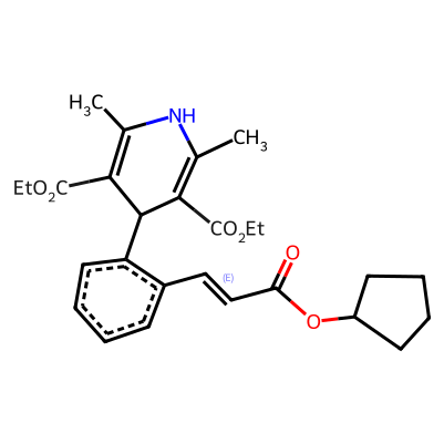 CCOC(=O)C1=C(C)NC(C)=C(C(=O)OCC)C1c1ccccc1/C=C/C(=O)OC1CCCC1